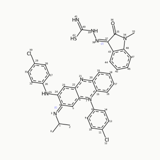 CC(C)/N=c1\cc2n(-c3ccc(Cl)cc3)c3ccccc3nc-2cc1Nc1ccc(Cl)cc1.CN1C(=O)/C(=N\NC(=N)S)c2ccccc21